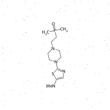 CNc1cnc(N2CCN(CCP(C)(C)=O)CC2)s1